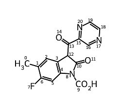 Cc1cc2c(cc1F)N(C(=O)O)C(=O)C2C(=O)c1cnccn1